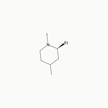 CC[C@H]1CC(C)CCN1I